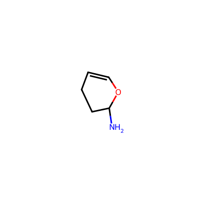 NC1CCC=CO1